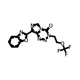 O=c1n(CCOC(F)(F)F)nnc2c(-c3nc4ccccc4o3)ncn12